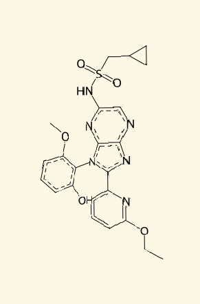 CCOC1=NC(c2nc3ncc(NS(=O)(=O)CC4CC4)nc3n2-c2c(O)cccc2OC)=C=C=C1